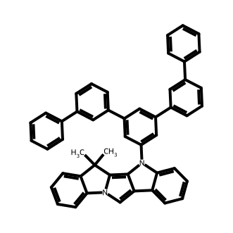 CC1(C)c2ccccc2-n2cc3c4ccccc4n(-c4cc(-c5cccc(-c6ccccc6)c5)cc(-c5cccc(-c6ccccc6)c5)c4)c3c21